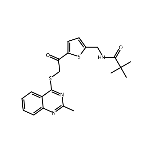 Cc1nc(SCC(=O)c2ccc(CNC(=O)C(C)(C)C)s2)c2ccccc2n1